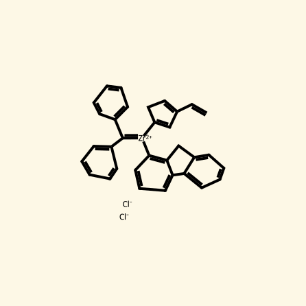 C=CC1=CC[C]([Zr+2](=[C](c2ccccc2)c2ccccc2)[c]2cccc3c2Cc2ccccc2-3)=C1.[Cl-].[Cl-]